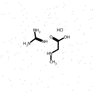 CNCC(=O)O.Cl.N=C(N)N